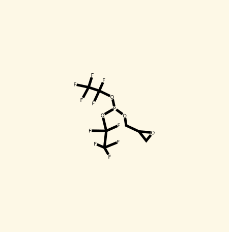 FC(F)(F)C(F)(F)OP(OCC1CO1)OC(F)(F)C(F)(F)F